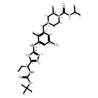 CC[C@H](NC(=O)OC(C)(C)C)c1nnc(Nc2cc(Cl)cc(CN3CCN(C(=O)OC(C)C)C(C)C3)c2C)o1